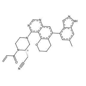 C=CC(=O)N1CCN(c2ncnc3cc(-c4cc(C)cc5[nH]ncc45)c4c(c23)OCCC4)C[C@@H]1CC#N